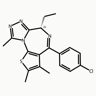 CC[C@@H]1N=C(c2ccc(Cl)cc2)c2c(sc(C)c2C)-n2c(C)nnc21